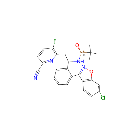 CC(C)(C)[S@+]([O-])NC(Cc1nc(C#N)ccc1F)c1ccccc1-c1noc2cc(Cl)ccc12